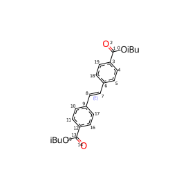 CC(C)COC(=O)c1ccc(/C=C/c2ccc(C(=O)OCC(C)C)cc2)cc1